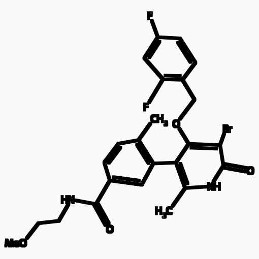 COCCNC(=O)c1ccc(C)c(-c2c(C)[nH]c(=O)c(Br)c2OCc2ccc(F)cc2F)c1